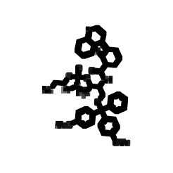 COc1ccc(C(OCC(NC(=O)C2CC=CC3=C4C=CN=C5C=CC=CC54N=C32)C(C)OP(=O)(OCCC#N)N(C(C)C)C(C)C)(c2ccccc2)c2ccc(OC)cc2)cc1